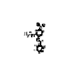 COc1cc([N+](=O)[O-])ccc1OCc1cccnn1